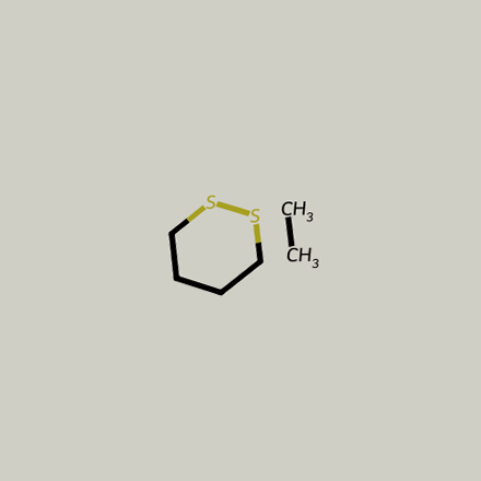 C1CCSSC1.CC